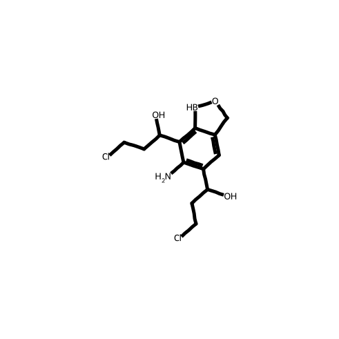 Nc1c(C(O)CCCl)cc2c(c1C(O)CCCl)BOC2